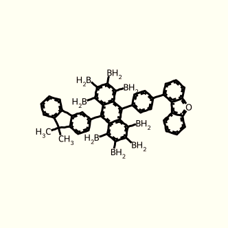 Bc1c(B)c(B)c2c(-c3ccc4c(c3)-c3ccccc3C4(C)C)c3c(B)c(B)c(B)c(B)c3c(-c3ccc(-c4cccc5oc6ccccc6c45)cc3)c2c1B